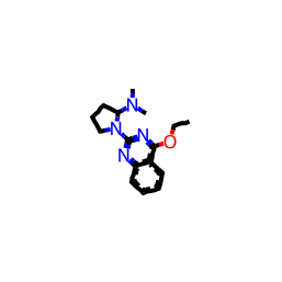 CCOc1nc(N2CCCC2N(C)C)nc2ccccc12